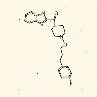 O=C(c1nc2ccccc2s1)C1CCN(OCCCc2ccc(F)cc2)CC1